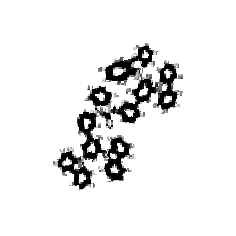 O=c1n(-c2cccc(-c3cc(-n4c5ccccc5c5ccccc54)cc(-n4c5ccccc5c5ccccc54)c3)c2)c2ccccc2n1-c1cccc(-c2cc(-n3c4ccccc4c4ccccc43)cc(-n3c4ccccc4c4ccccc43)c2)c1